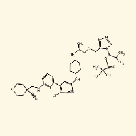 CC(C)[C@H](OC(=O)C(C)(C)C)n1nnnc1COC[C@H](C)N[C@H]1CC[C@H](Nc2cc(-c3cccc(NCC4(C#N)CCOCC4)n3)c(Cl)cn2)CC1